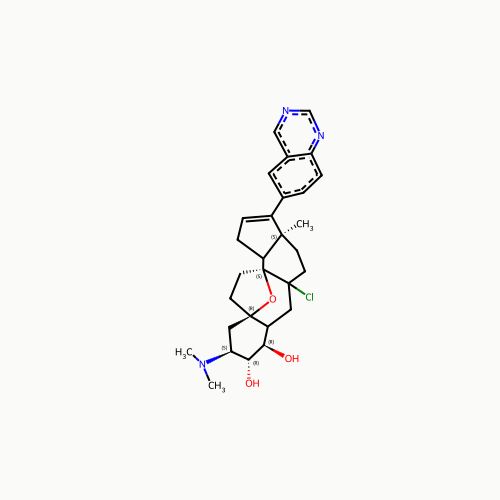 CN(C)[C@H]1C[C@@]23CC[C@]4(O2)C2CC=C(c5ccc6ncncc6c5)[C@@]2(C)CCC4(Cl)CC3[C@@H](O)[C@@H]1O